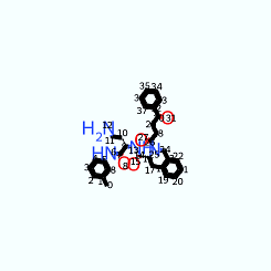 Cc1cccc(NC(=O)[C@H](CCN)NC(=O)[C@@H]2Cc3ccccc3CN2C(=O)CCC(=O)c2ccccc2)c1